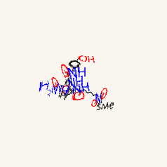 CSC1CC(=O)N(CCCCCC(=O)N[C@H](C(=O)N[C@@H](CCCNC(N)=O)C(=O)Nc2ccc(CO)cc2)C(C)C)C1=O